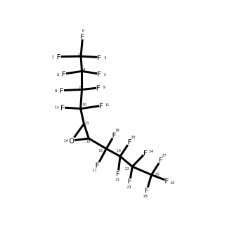 FC(F)(F)C(F)(F)C(F)(F)C(F)(F)C1OC1C(F)(F)C(F)(F)C(F)(F)C(F)(F)F